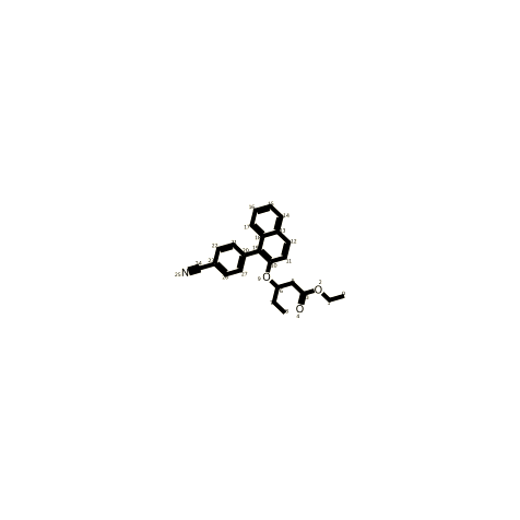 CCOC(=O)CC(CC)Oc1ccc2ccccc2c1-c1ccc(C#N)cc1